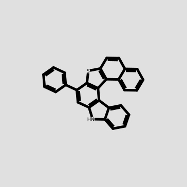 c1ccc(-c2cc3[nH]c4ccccc4c3c3c2sc2ccc4ccccc4c23)cc1